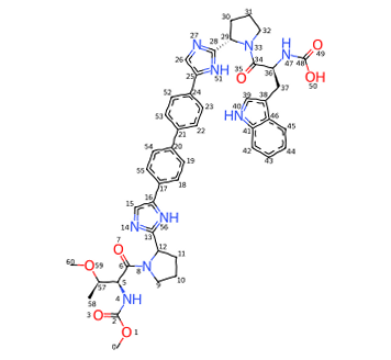 COC(=O)N[C@H](C(=O)N1CCCC1c1ncc(-c2ccc(-c3ccc(-c4cnc([C@@H]5CCCN5C(=O)[C@H](Cc5c[nH]c6ccccc56)NC(=O)O)[nH]4)cc3)cc2)[nH]1)[C@@H](C)OC